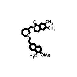 COc1ccc2cc(CCN3CCCCC(CN4CCc5cc(C)c(C)cc5C4=O)C3)ccc2c1C